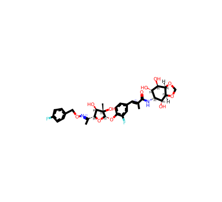 C/C(=C\c1ccc(O[C@@H]2O[C@H](/C(C)=N/OCc3ccc(F)cc3)[C@@H](O)[C@]2(C)O)c(F)c1)C(=O)N[C@@H]1[C@H](O)[C@@H](O)[C@H]2OCO[C@H]2[C@@H]1O